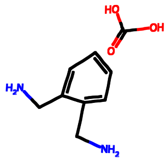 NCc1ccccc1CN.O=C(O)O